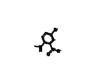 CNc1ccc(Br)[c]c1[N+](=O)[O-]